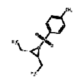 CC[C@H]1[C@H](CC)N1S(=O)(=O)c1ccc(C)cc1